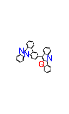 c1ccc2c(-c3ccc4c(c3)c3ccccc3c3nc5ccccc5n43)c3oc4ccccc4c3nc2c1